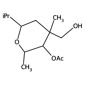 CC(=O)OC1C(C)OC(C(C)C)CC1(C)CO